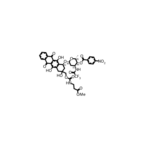 COC(=O)CCNC(=O)OCC1(O)Cc2c(O)c3c(c(O)c2[C@@H](O[C@H]2C[C@H](NC(=O)C(F)(F)F)[C@@H](OC(=O)c4ccc([N+](=O)[O-])cc4)[C@@H](C)O2)C1)C(=O)c1ccccc1C3=O